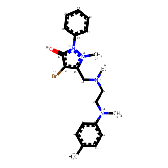 CCN(CCN(C)c1ccc(C)cc1)Cc1c(Br)c(=O)n(-c2ccccc2)n1C